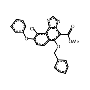 COC(=O)c1c(OCc2ccccc2)c2ccc(Oc3ccccc3)c(Cl)c2c2ncnn12